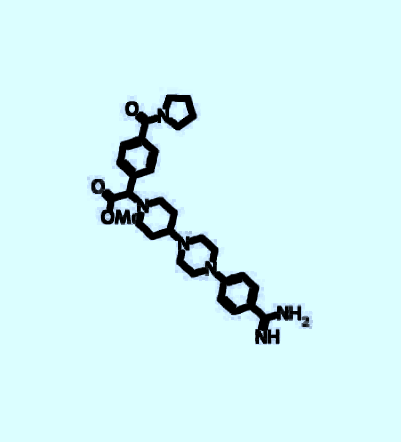 COC(=O)C(c1ccc(C(=O)N2CCCC2)cc1)N1CCC(N2CCN(c3ccc(C(=N)N)cc3)CC2)CC1